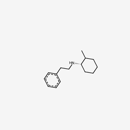 CC1CCCC[C@@H]1NCCc1ccccc1